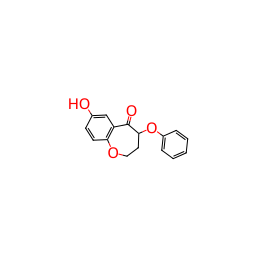 O=C1c2cc(O)ccc2OCCC1Oc1ccccc1